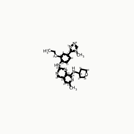 CCOc1cc(-c2nncn2C)ccc1Nc1ncc2cc(C)nc(NC3CCOCC3)c2n1